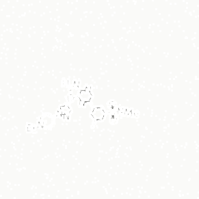 CCN1CCC(n2cc(Oc3nc(-c4cc(C)cc(S(=O)(=O)NC)c4)cnc3N)cn2)CC1